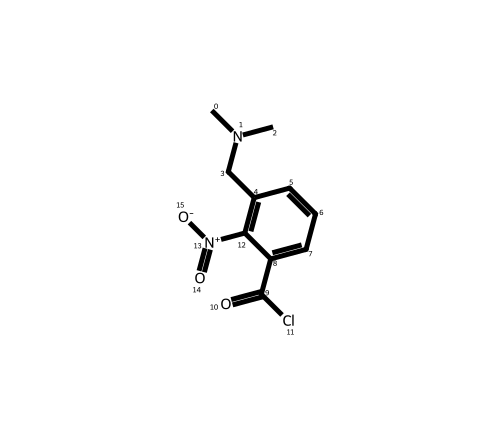 CN(C)Cc1cccc(C(=O)Cl)c1[N+](=O)[O-]